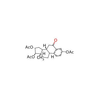 CC(=O)Oc1ccc2c(c1)C(=O)C[C@@H]1[C@@H]2CC[C@@]2(C)[C@H]1C[C@@H](OC(C)=O)[C@@H]2OC(C)=O